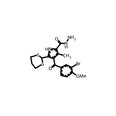 COc1ccc(C(=O)c2c(C3SCCCS3)[nH]c(C(=O)NN)c2C)cc1Br